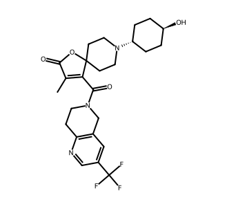 CC1=C(C(=O)N2CCc3ncc(C(F)(F)F)cc3C2)C2(CCN([C@H]3CC[C@H](O)CC3)CC2)OC1=O